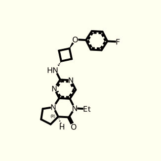 CCN1C(=O)[C@H]2CCCN2c2nc(N[C@H]3C[C@H](Oc4ccc(F)cc4)C3)ncc21